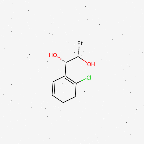 CC[C@H](O)[C@@H](O)C1=C(Cl)CCC=C1